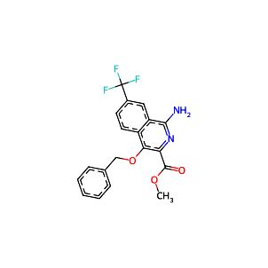 COC(=O)c1nc(N)c2cc(C(F)(F)F)ccc2c1OCc1ccccc1